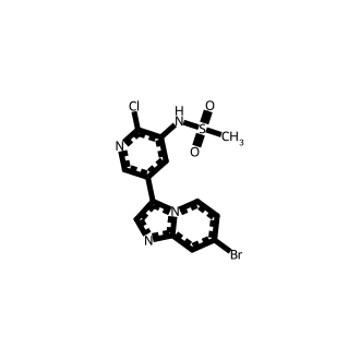 CS(=O)(=O)Nc1cc(-c2cnc3cc(Br)ccn23)cnc1Cl